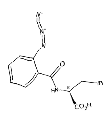 CC(C)C[C@H](NC(=O)c1ccccc1N=[N+]=[N-])C(=O)O